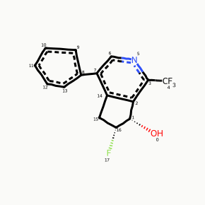 O[C@H]1c2c(C(F)(F)F)ncc(-c3ccccc3)c2C[C@H]1F